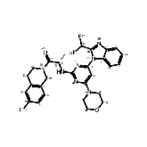 C[C@H](Nc1nc(N2CCOCC2)cc(-n2c(C(F)F)nc3ccccc32)n1)C(=O)N1CCc2cc(Cl)ccc2C1